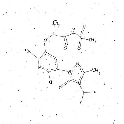 Cc1nn(-c2cc(OC(C)C(=O)NS(C)(=O)=O)c(Cl)cc2Cl)c(=O)n1C(F)F